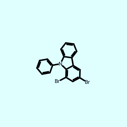 Brc1cc(Br)c2c(c1)c1ccccc1n2-c1ccccc1